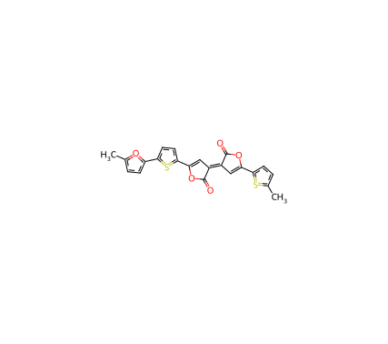 Cc1ccc(-c2ccc(C3=C/C(=C4/C=C(c5ccc(C)s5)OC4=O)C(=O)O3)s2)o1